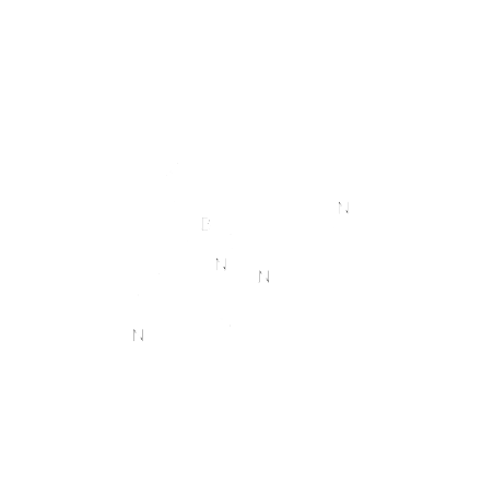 Cc1cc(C)c(B2c3ccc(-c4cccnc4)cc3N3c4ccccc4N(c4cccc(-c5cccnc5)c4)c4cccc2c43)c(C)c1